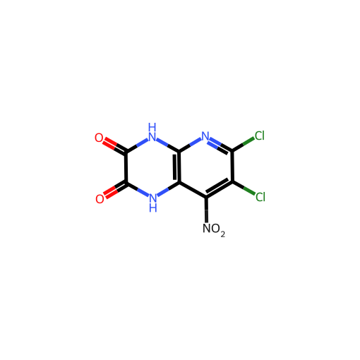 O=c1[nH]c2nc(Cl)c(Cl)c([N+](=O)[O-])c2[nH]c1=O